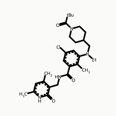 CCN(CC1CCN(C(=O)C(C)(C)C)CC1)c1cc(Cl)cc(C(=O)NCc2c(C)cc(C)[nH]c2=O)c1C